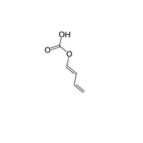 C=CC=COC(=O)O